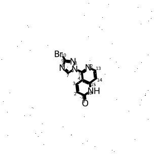 O=c1ccc2c(-n3cnc(Br)n3)nccc2[nH]1